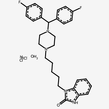 Cl.Cl.O.O=c1[nH]c2ccccc2n1CCCCCN1CCN(C(c2ccc(F)cc2)c2ccc(F)cc2)CC1